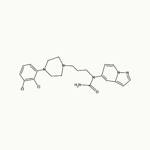 NC(=O)N(CCCN1CCN(c2cccc(Cl)c2Cl)CC1)c1ccn2nccc2c1